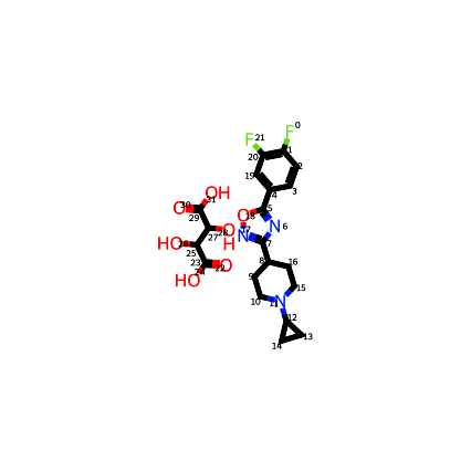 Fc1ccc(-c2nc(C3CCN(C4CC4)CC3)no2)cc1F.O=C(O)C(O)C(O)C(=O)O